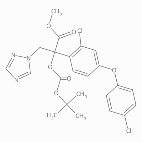 COC(=O)C(Cn1cncn1)(OC(=O)OC(C)(C)C)c1ccc(Oc2ccc(Cl)cc2)cc1Cl